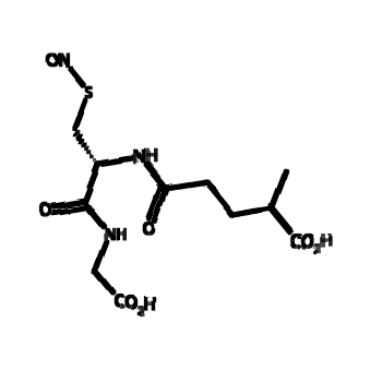 CC(CCC(=O)N[C@@H](CSN=O)C(=O)NCC(=O)O)C(=O)O